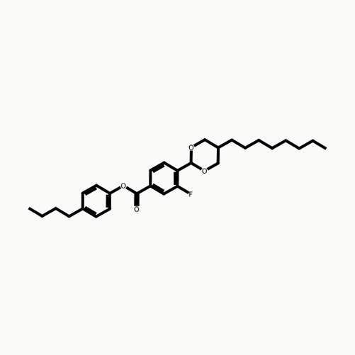 CCCCCCCCC1COC(c2ccc(C(=O)Oc3ccc(CCCC)cc3)cc2F)OC1